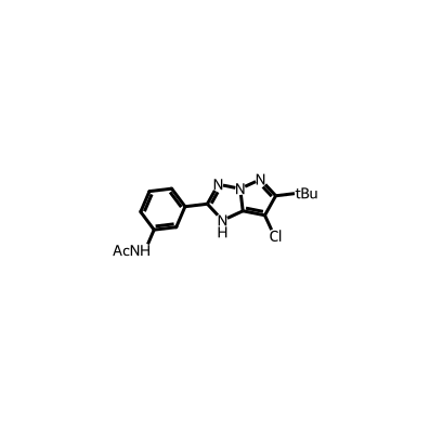 CC(=O)Nc1cccc(-c2nn3nc(C(C)(C)C)c(Cl)c3[nH]2)c1